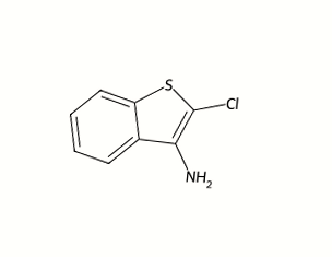 Nc1c(Cl)sc2ccccc12